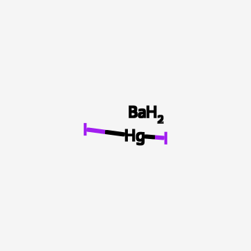 [BaH2].[I][Hg][I]